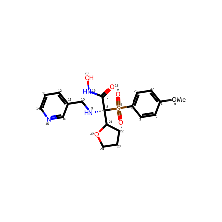 COc1ccc(S(=O)(=O)[C@](NCc2cccnc2)(C(=O)NO)C2CCCO2)cc1